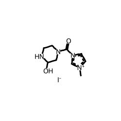 C[n+]1ccn(C(=O)N2CCNC(O)C2)c1.[I-]